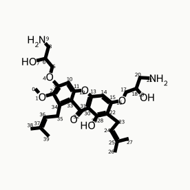 COc1c(OCC(O)CN)cc2oc3cc(OCC(O)CN)c(CC=C(C)C)c(O)c3c(=O)c2c1CC=C(C)C